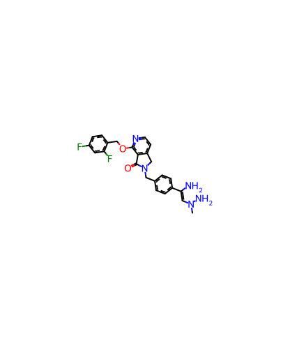 CN(N)/C=C(\N)c1ccc(CN2Cc3ccnc(OCc4ccc(F)cc4F)c3C2=O)cc1